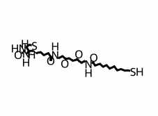 O=C(CCNC(=O)CCCCCCCCCCS)CCC(=O)CCNC(=O)CCCC[C@@H]1SC[C@@H]2NC(=O)N[C@@H]21